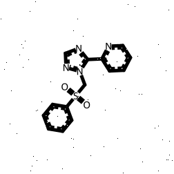 O=S(=O)(Cn1ncnc1-c1ccccn1)c1ccccc1